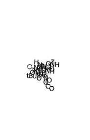 CCC[C@H](NC(=O)[C@@H]1CN(C(=O)Oc2ccc3ccccc3c2)C[C@@H]1NC(=O)[C@@H](NC(=O)[C@@H](NC(=O)c1cnccn1)C1CCCCC1)C(C)(C)C)C(=O)C(=O)NC1CC1